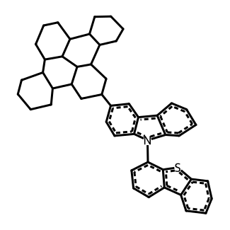 c1ccc2c(c1)sc1c(-n3c4ccccc4c4cc(C5CC6C7CCCCC7C7CCCC8C9CCCCC9C(C5)C6C78)ccc43)cccc12